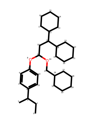 CCC(C)c1ccc(OC(CC(C2CCCCC2)C2CCCCC2)OCC2CCCCC2)cc1